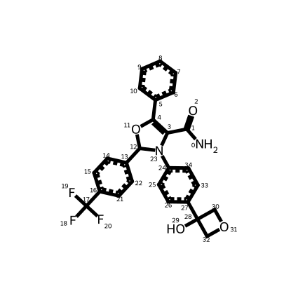 NC(=O)C1=C(c2ccccc2)OC(c2ccc(C(F)(F)F)cc2)N1c1ccc(C2(O)COC2)cc1